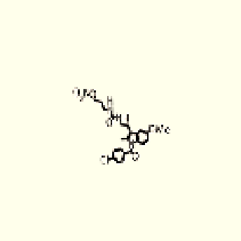 COc1ccc2c(c1)c(CCNC(=O)NCCCO[N+](=O)[O-])c(C)n2C(=O)c1ccc(Cl)cc1